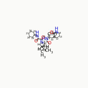 CC1(C)[C@@H]2[C@@H](C(=O)N[C@H](C=O)C[C@@H]3CCCNC3=O)N(C(=O)C(=O)NC3CCCCC3)C[C@@H]21